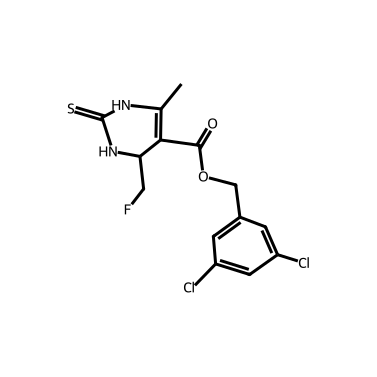 CC1=C(C(=O)OCc2cc(Cl)cc(Cl)c2)C(CF)NC(=S)N1